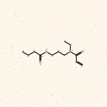 C=CC(=O)N(CC)CCCOC(=O)CCC